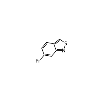 CC(C)c1ccc2csnc2c1